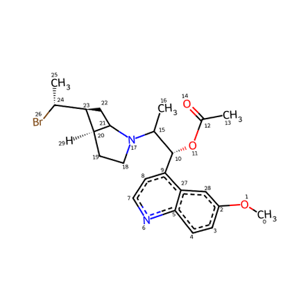 COc1ccc2nccc([C@@H](OC(C)=O)C(C)N3CC[C@@H]4C3C[C@@H]4[C@@H](C)Br)c2c1